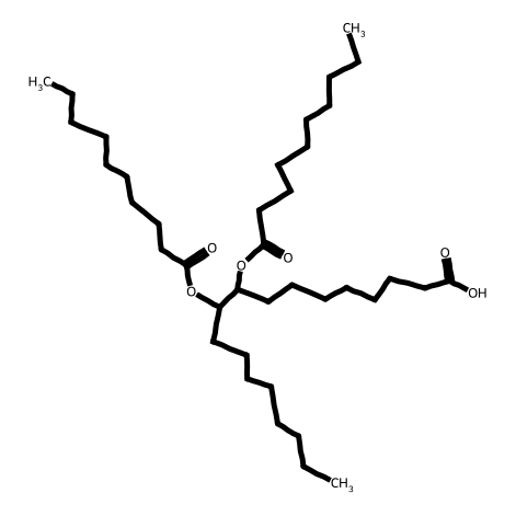 CCCCCCCCCC(=O)OC(CCCCCCCC)C(CCCCCCCC(=O)O)OC(=O)CCCCCCCCC